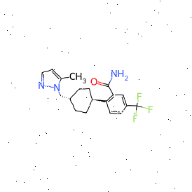 Cc1ccnn1C[C@H]1CC[C@H](c2ccc(C(F)(F)F)cc2C(N)=O)CC1